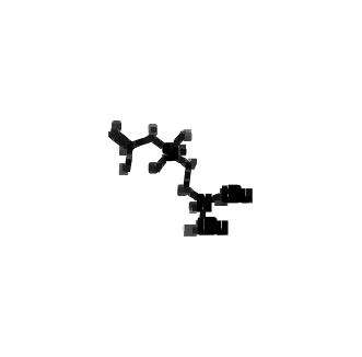 C=C(C)C[Si](C)(C)CCN(C(C)(C)C)C(C)(C)C